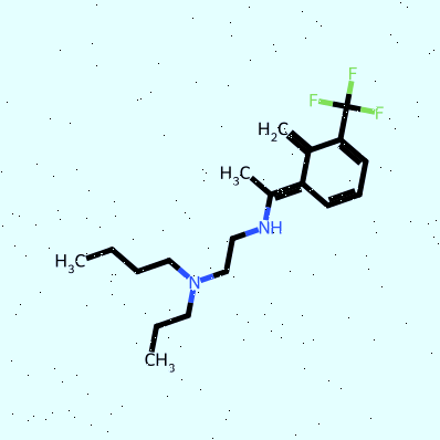 C=c1c(C(F)(F)F)ccc/c1=C(/C)NCCN(CCC)CCCC